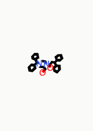 O=CC1CN(C(c2ccccc2)c2ccccc2)CCN1C(=O)CC(c1ccccc1)c1ccccc1